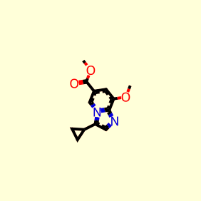 COC(=O)c1cc(OC)c2ncc(C3CC3)n2c1